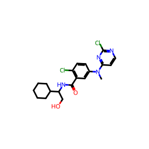 CN(c1ccc(Cl)c(C(=O)NC(CO)C2CCCCC2)c1)c1ccnc(Cl)n1